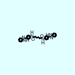 O=C(CCCCC(=O)Nc1ccc(-c2nc3ccccc3[nH]2)cc1)Nc1ccc(-c2nc3ccccc3[nH]2)cc1